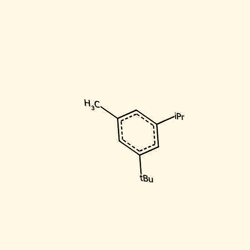 Cc1cc(C(C)C)cc(C(C)(C)C)c1